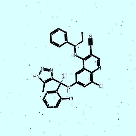 [2H][C@](Nc1cc(Cl)c2ncc(C#N)c(N[C@H](CC)c3ccccc3)c2c1)(c1ccccc1Cl)c1nn[nH]c1C